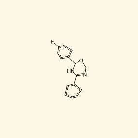 Fc1ccc(C2NC(c3ccccc3)=NCO2)cc1